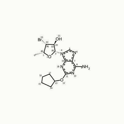 C[C@H]1O[C@@H](n2cnc3c(N)nc(OC4CCCC4)nc32)[C@H](O)[C@H]1Br